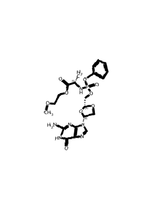 COCCOC(=O)[C@H](C)NP(=O)(OC[C@@H]1OC[C@H](n2cnc3c(=O)[nH]c(N)nc32)O1)Oc1ccccc1